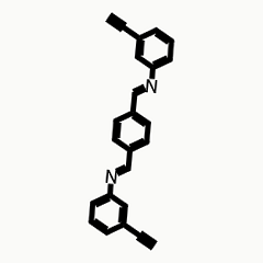 C#Cc1cccc(N=Cc2ccc(C=Nc3cccc(C#C)c3)cc2)c1